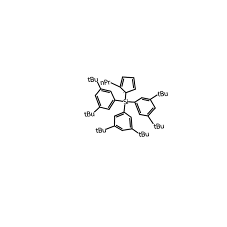 CCCC1=CC=C[C]1[Si](c1cc(C(C)(C)C)cc(C(C)(C)C)c1)(c1cc(C(C)(C)C)cc(C(C)(C)C)c1)c1cc(C(C)(C)C)cc(C(C)(C)C)c1